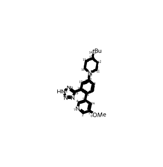 COc1cncc(-c2ccc(N3CCC(C(C)(C)C)CC3)cc2-c2nn[nH]n2)c1